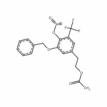 CC(=O)OCCc1cc(OCc2ccccc2)c(O[SH](=O)=O)c(C(F)(F)F)c1